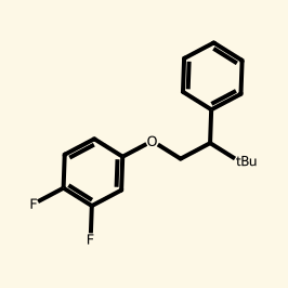 CC(C)(C)C(COc1ccc(F)c(F)c1)c1ccccc1